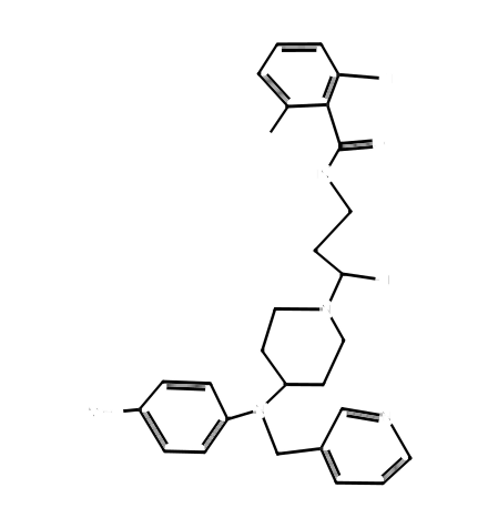 COc1ccc(N(Cc2cccnc2)C2CCN(C(C)CCNC(=O)c3c(C)cccc3C)CC2)cc1